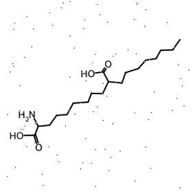 CCCCCCCCC(CCCCCCCC(N)C(=O)O)C(=O)O